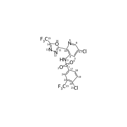 O=S(=O)(Nc1cc(Cl)cnc1-c1nnc(C(F)(F)F)o1)c1ccc(Cl)c(C(F)(F)F)c1